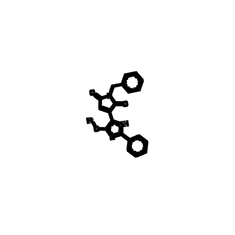 CCOc1nc(-c2ccccc2)[nH]c1C1=CC(=O)N(Cc2ccccc2)C1=O